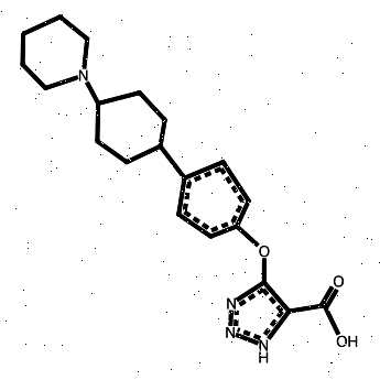 O=C(O)c1[nH]nnc1Oc1ccc(C2CCC(N3CCCCC3)CC2)cc1